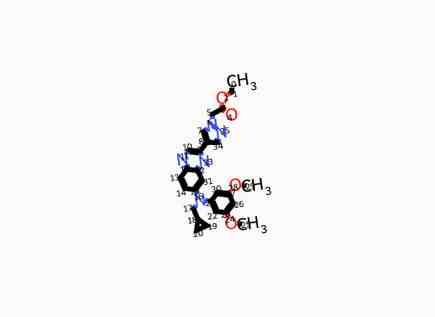 CCOC(=O)Cn1cc(-c2cnc3ccc(N(CC4CC4)c4cc(OC)cc(OC)c4)cc3n2)cn1